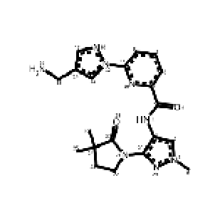 Cn1cc(NC(=O)c2cccc(-n3cc(CN)cn3)n2)c(N2CCC(C)(C)C2=O)n1